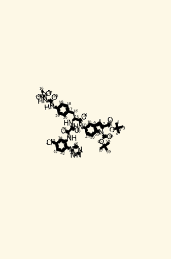 CC(C)(C)OC(=O)c1cc2cc(NC(=O)[C@H](Cc3ccc(NC(=O)NS(C)(=O)=O)cc3)NC(=O)C(=O)Nc3cc(Cl)ccc3-n3cnnn3)ccc2n1C(=O)OC(C)(C)C